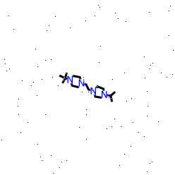 CC(C)N1CCN(CCN2CCN(C(C)(C)C)CC2)CC1